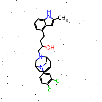 Cc1cc2c(CCC(O)CN3CC4CC=CCC3CN4c3ccc(Cl)c(Cl)c3)cccc2[nH]1